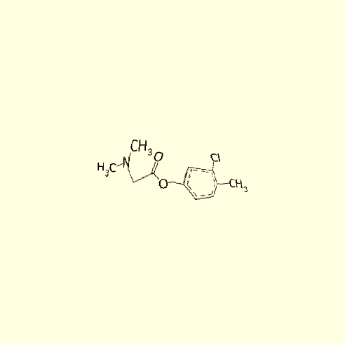 Cc1ccc(OC(=O)CN(C)C)cc1Cl